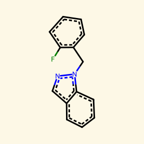 Fc1ccccc1Cn1ncc2ccccc21